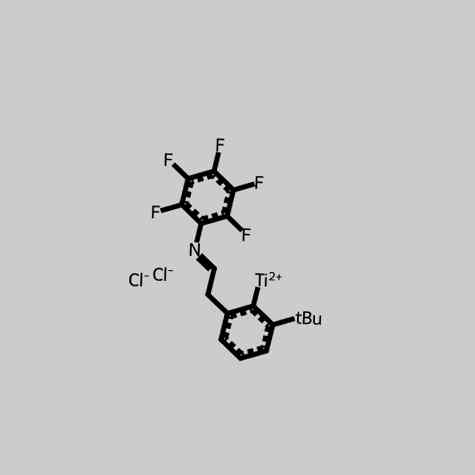 CC(C)(C)c1cccc(CC=Nc2c(F)c(F)c(F)c(F)c2F)[c]1[Ti+2].[Cl-].[Cl-]